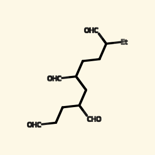 CCC(C=O)CCC(C=O)CC(C=O)CCC=O